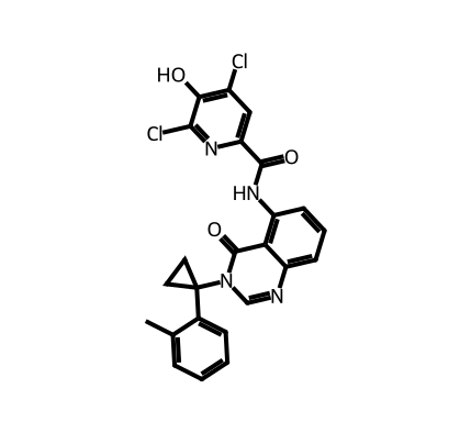 Cc1ccccc1C1(n2cnc3cccc(NC(=O)c4cc(Cl)c(O)c(Cl)n4)c3c2=O)CC1